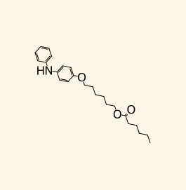 CCCCCC(=O)OCCCCCCOc1ccc(Nc2ccccc2)cc1